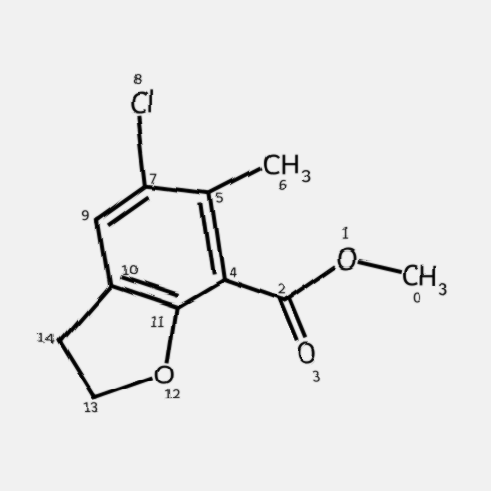 COC(=O)c1c(C)c(Cl)cc2c1OCC2